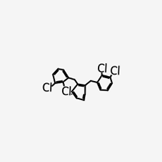 Clc1cccc(Cc2[c]cccc2Cc2cccc(Cl)c2Cl)c1Cl